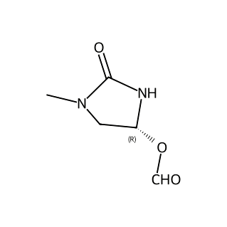 CN1C[C@@H](OC=O)NC1=O